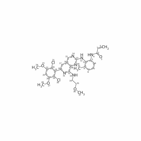 C=CC(=O)Nc1cccc(C)c1Nc1ncc2cc(-c3c(Cl)c(OC)cc(OC)c3Cl)nc(NCCOC)c2n1